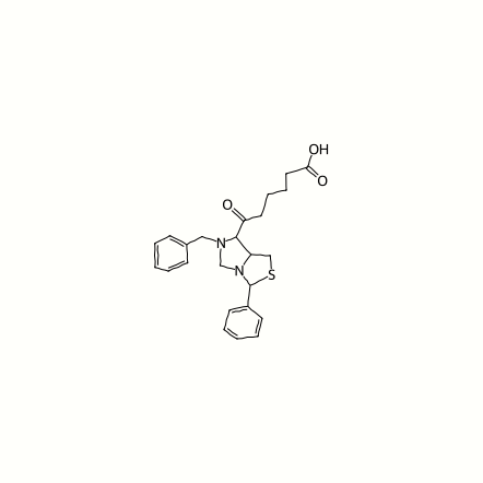 O=C(O)CCCCC(=O)C1C2CSC(c3ccccc3)N2CN1Cc1ccccc1